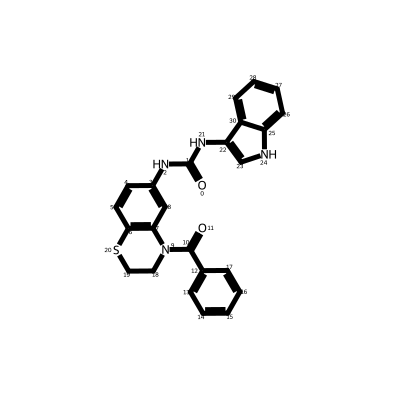 O=C(Nc1ccc2c(c1)N(C(=O)c1ccccc1)CCS2)Nc1c[nH]c2ccccc12